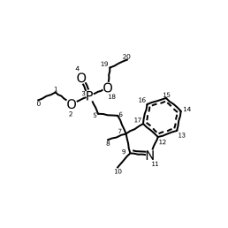 CCOP(=O)(CCC1(C)C(C)=Nc2ccccc21)OCC